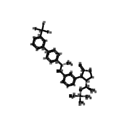 C[C@H](Nc1nccc(N2C(=O)OCC2[C@@H](C)OC(C)(C)C)n1)c1ccc(-c2cccc(C(F)(F)F)c2)cn1